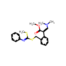 COC(=O)C(=CN(C)C)c1ccccc1CSC(=Nc1ccccc1)SC